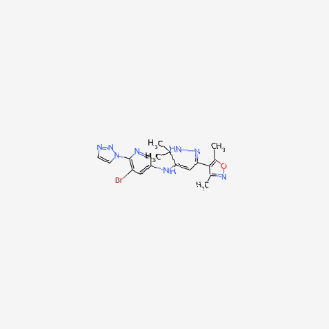 Cc1noc(C)c1C1=NNC(C)(C)C(Nc2cnc(-n3ccnn3)c(Br)c2)=C1